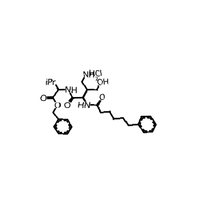 CC(C)C(NC(=O)C(NC(=O)CCCCCc1ccccc1)C(CN)CO)C(=O)OCc1ccccc1.Cl